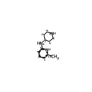 Cc1cccc(NC2CCNCC2)n1